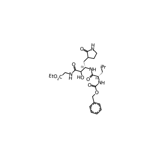 CCOC(=O)CNC(=O)C(O)[C@H](CC1CCNC1=O)NC(=O)[C@H](CC(C)C)NC(=O)OCc1ccccc1